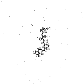 CC(C)n1nnc(CNC(=O)NCC2CN(Cc3ccc(Cl)c(Cl)c3)CCO2)n1